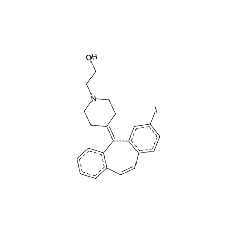 OCCN1CCC(=C2c3ccccc3C=Cc3ccc(I)cc32)CC1